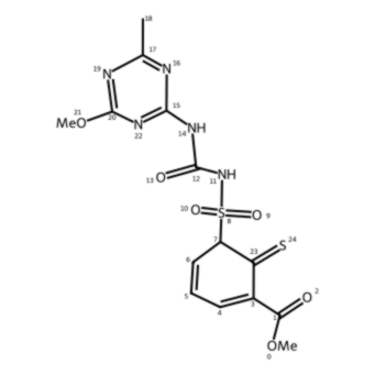 COC(=O)C1=CC=CC(S(=O)(=O)NC(=O)Nc2nc(C)nc(OC)n2)C1=S